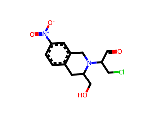 O=CC(CCl)N1Cc2cc([N+](=O)[O-])ccc2CC1CO